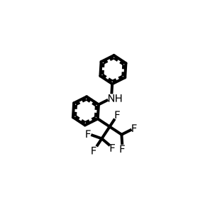 FC(F)C(F)(c1ccccc1Nc1ccccc1)C(F)(F)F